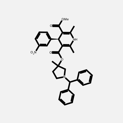 COC(=O)C1=C(C)NC(C)=C(C(=O)OC2(C)CCN(C(c3ccccc3)c3ccccc3)C2)[C@H]1c1cccc([N+](=O)[O-])c1